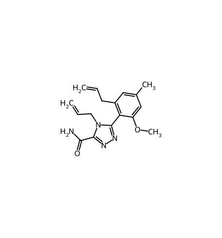 C=CCc1cc(C)cc(OC)c1-c1nnc(C(N)=O)n1CC=C